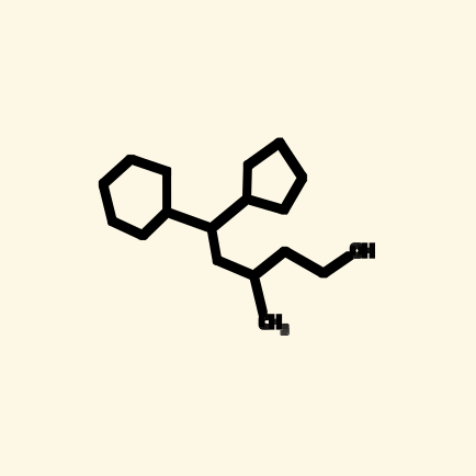 CC(CCO)CC(C1CCCCC1)C1CCCC1